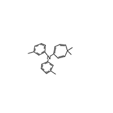 Cc1cccc(N(C2=CC=CC(C)(C)C=C2)c2cccc(C)c2)c1